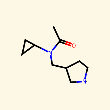 CC(=O)N(CC1CC[N]C1)C1CC1